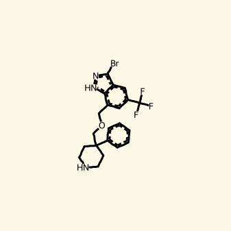 FC(F)(F)c1cc(COCC2(c3ccccc3)CCNCC2)c2[nH]nc(Br)c2c1